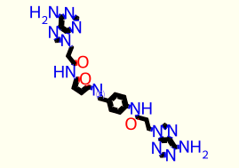 Nc1ncnc2c1ncn2CCC(=O)Nc1ccc(/C=N/c2ccc(NC(=O)CCn3cnc4c(N)ncnc43)o2)cc1